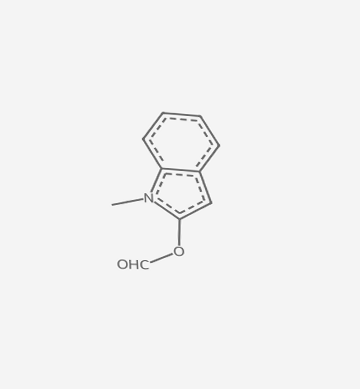 Cn1c(OC=O)cc2ccccc21